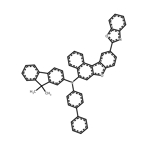 CC1(C)c2ccccc2-c2ccc(N(c3ccc(-c4ccccc4)cc3)c3cc4oc5ccc(-c6nc7ccccc7o6)cc5c4c4ccccc34)cc21